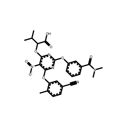 Cc1ccc(C#N)cc1Oc1nc(Oc2cccc(C(=O)N(C)C)c2)nc(OC(C(=O)O)C(C)C)c1[N+](=O)[O-]